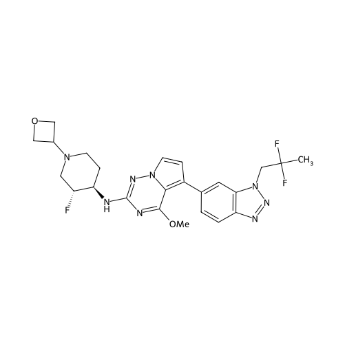 COc1nc(N[C@@H]2CCN(C3COC3)C[C@H]2F)nn2ccc(-c3ccc4nnn(CC(C)(F)F)c4c3)c12